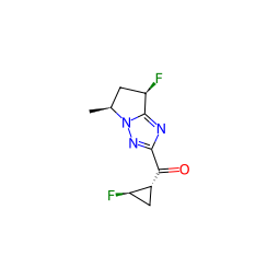 C[C@H]1C[C@@H](F)c2nc(C(=O)[C@@H]3C[C@H]3F)nn21